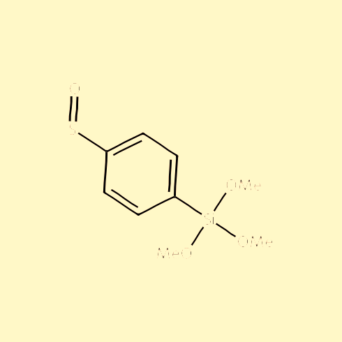 CO[Si](OC)(OC)c1ccc([S+]=O)cc1